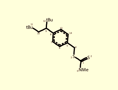 CNC(=S)SCc1ccc(C(CC(C)(C)C)C(C)(C)C)cc1